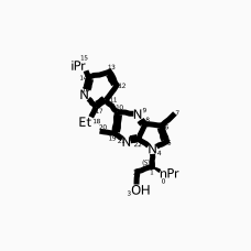 CCC[C@@H](CO)n1cc(C)c2nc(-c3ccc(C(C)C)nc3CC)c(C)nc21